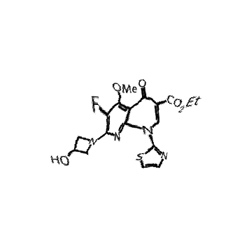 CCOC(=O)c1cn(-c2nccs2)c2nc(N3CC(O)C3)c(F)c(OC)c2c1=O